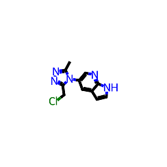 Cc1nnc(CCl)n1-c1cnc2[nH]ccc2c1